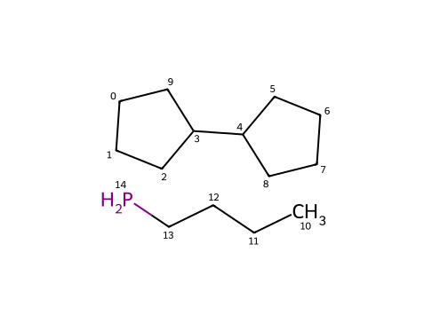 C1CCC(C2CCCC2)C1.CCCCP